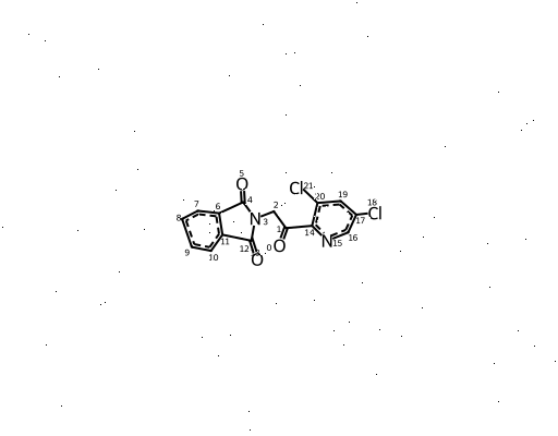 O=C(CN1C(=O)c2ccccc2C1=O)c1ncc(Cl)cc1Cl